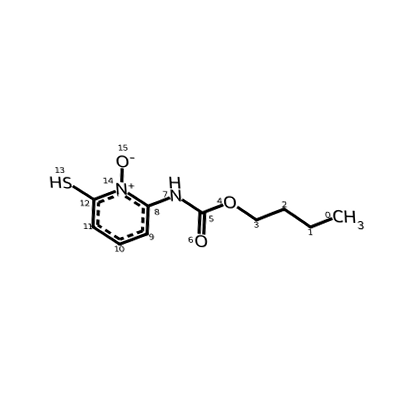 CCCCOC(=O)Nc1cccc(S)[n+]1[O-]